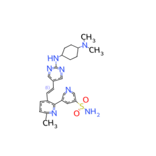 Cc1ccc(/C=C/c2cnc(NC3CCC(N(C)C)CC3)nc2)c(-c2cncc(S(N)(=O)=O)c2)n1